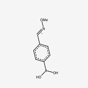 CO/N=C/c1ccc(B(O)O)cc1